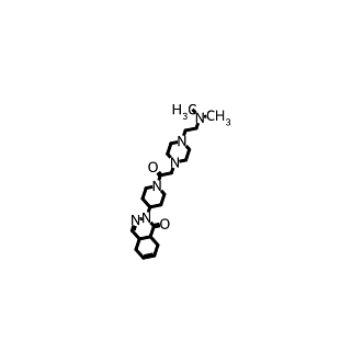 CN(C)CCN1CCN(CC(=O)N2CCC(N3N=CC4CC=CCC4C3=O)CC2)CC1